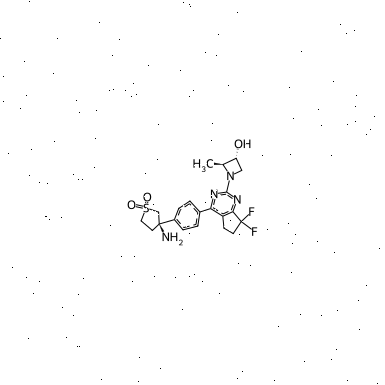 C[C@H]1[C@H](O)CN1c1nc(-c2ccc([C@]3(N)CCS(=O)(=O)C3)cc2)c2c(n1)C(F)(F)CC2